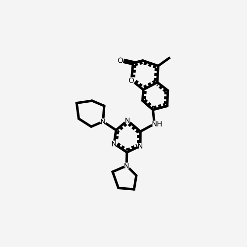 Cc1cc(=O)oc2cc(Nc3nc(N4CCCCC4)nc(N4CCCC4)n3)ccc12